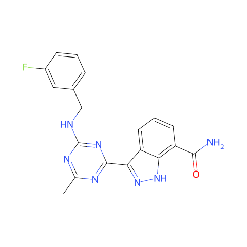 Cc1nc(NCc2cccc(F)c2)nc(-c2n[nH]c3c(C(N)=O)cccc23)n1